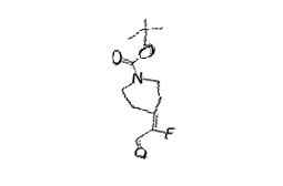 CC(C)(C)OC(=O)N1CCC(=C(F)C=O)CC1